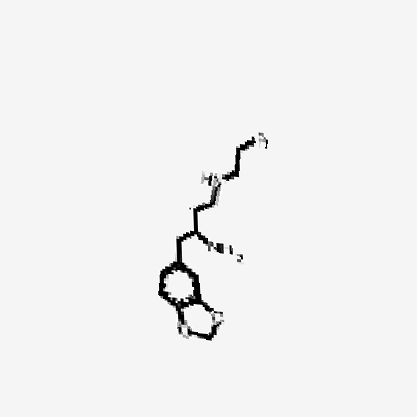 CC(C)CCNC[CH]C(N)Cc1ccc2c(c1)OCO2